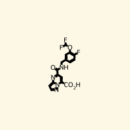 O=C(NCc1ccc(F)c(OC(F)F)c1)c1cc(C(=O)O)n2nccc2n1